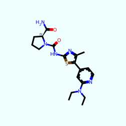 CCN(CC)c1cc(-c2sc(NC(=O)N3CCC[C@H]3C(N)=O)nc2C)ccn1